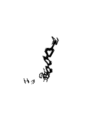 CN1C[C@H]2CCN(c3ccc(-c4ccc(-c5ccc(C#N)cc5)cc4)cc3)[C@H]2C1